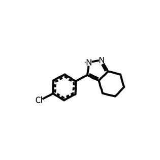 Clc1ccc(C2=C3CCCCC3=N[N]2)cc1